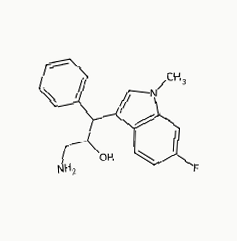 Cn1cc(C(c2ccccc2)C(O)CN)c2ccc(F)cc21